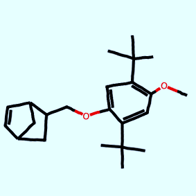 COc1cc(C(C)(C)C)c(OCC2CC3C=CC2C3)cc1C(C)(C)C